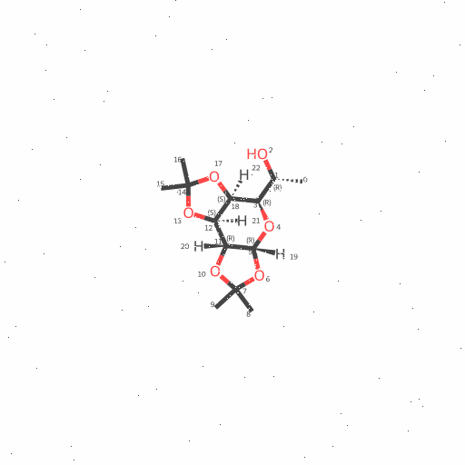 C[C@@H](O)[C@H]1O[C@@H]2OC(C)(C)O[C@@H]2[C@H]2OC(C)(C)O[C@H]21